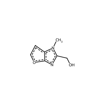 Cn1c(CO)nc2occc21